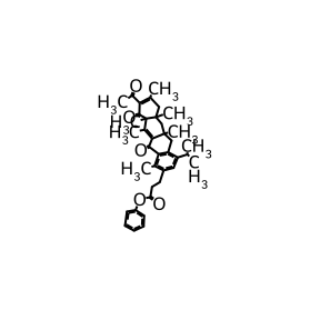 CC(=O)C1=C(C)CC2(C)CC3(C)Cc4c(C(C)C)cc(CCC(=O)Oc5ccccc5)c(C)c4C(=O)C3=C(C)C2(C)C1=O